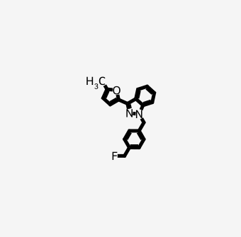 Cc1ccc(-c2nn(Cc3ccc(CF)cc3)c3ccccc23)o1